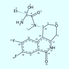 CC[C@](N)(O)C(=O)N(C)[C@@H]1COCc2[nH]c(=O)c3cc(F)c(F)cc3c21